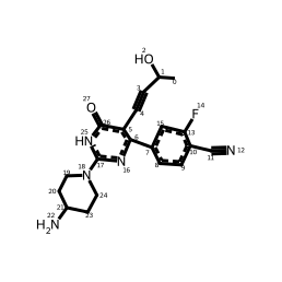 CC(O)C#Cc1c(-c2ccc(C#N)c(F)c2)nc(N2CCC(N)CC2)[nH]c1=O